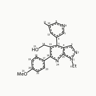 CCn1ncc2c(-c3cncc(C)c3)c(CO)c(-c3ccc(OC)cc3)nc21